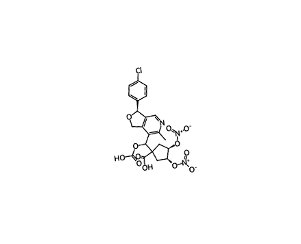 Cc1ncc2c(c1C(OC(=O)O)C1(C(=O)O)C[C@H](O[N+](=O)[O-])[C@H](O[N+](=O)[O-])C1)CO[C@H]2c1ccc(Cl)cc1